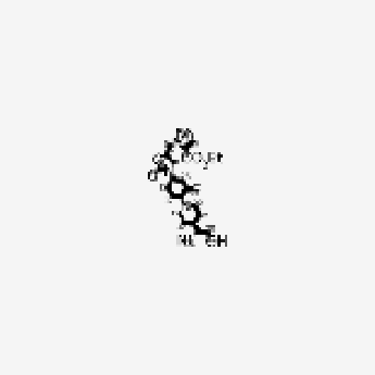 CCOC(=O)c1cnnn1CC1CN(c2ccc(N3CCC(C(C#N)CO)CC3)c(F)c2)C(=O)O1